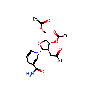 CCC(=O)C[C@@H]1[C@H](OC(=O)CC)[C@@H](COC(=O)CC)O[C@H]1N1C=CCC(C(N)=O)=C1